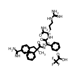 C[C@](Cc1ccc(C(=N)N)cc1)(C(=O)N[C@H](C(=O)N[C@@H](CCCNC(=N)N)C(N)=O)c1ccccc1)c1ccccc1.O=C(O)C(F)(F)F